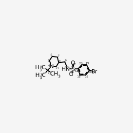 CC(C)(C)N1CCCC(CNS(=O)(=O)c2ccc(Br)cc2)C1